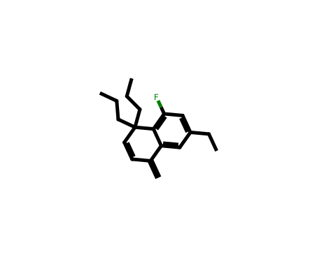 C=C1C=CC(CCC)(CCC)c2c(F)cc(CC)cc21